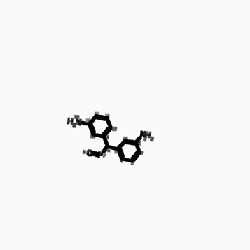 Nc1cccc(C(P=O)c2cccc(N)c2)c1